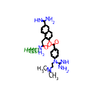 CN(C)CCN(C(=N)N)c1ccc(C(=O)Oc2ccc3cc(C(=N)N)ccc3c2CC(N)=O)cc1.Cl.Cl.Cl